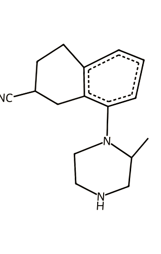 CC1CNCCN1c1cccc2c1CC(C#N)CC2